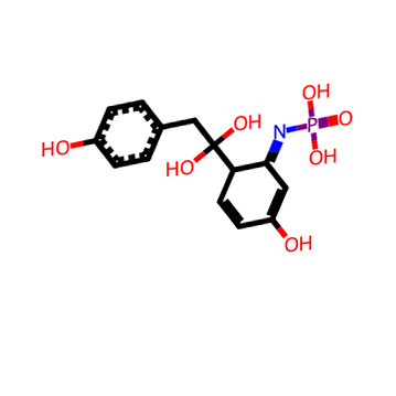 O=P(O)(O)N=C1C=C(O)C=CC1C(O)(O)Cc1ccc(O)cc1